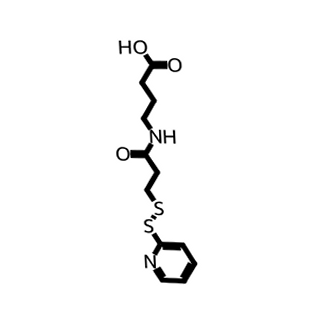 O=C(O)CCCNC(=O)CCSSc1ccccn1